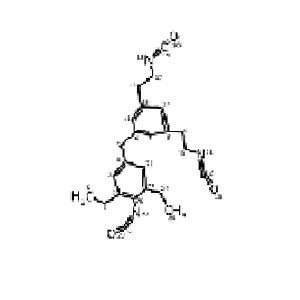 CCc1cc(Cc2cc(CCN=C=O)cc(CCN=C=O)c2)cc(CC)c1N=C=O